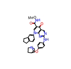 CONC(=O)c1cn(-c2ccc3c(c2)CCC3)c2nc(Nc3ccc(OC4C5CCN4CC5)cc3)ncc2c1=O